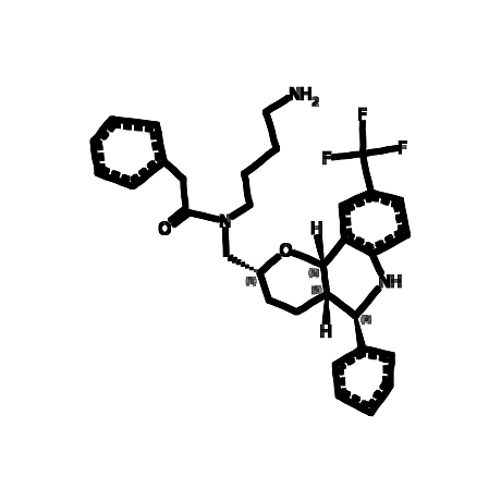 NCCCCN(C[C@H]1CC[C@@H]2[C@H](O1)c1cc(C(F)(F)F)ccc1N[C@H]2c1ccccc1)C(=O)Cc1ccccc1